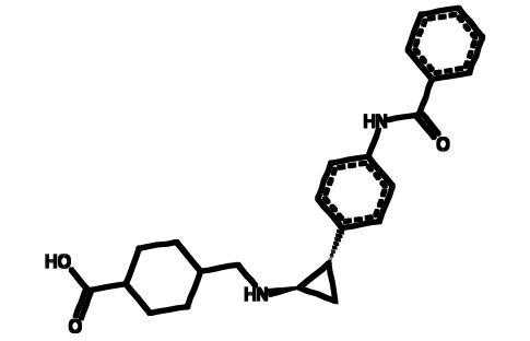 O=C(Nc1ccc([C@@H]2C[C@H]2NCC2CCC(C(=O)O)CC2)cc1)c1ccccc1